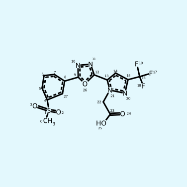 CS(=O)(=O)c1cccc(-c2nnc(-c3cc(C(F)(F)F)nn3CC(=O)O)o2)c1